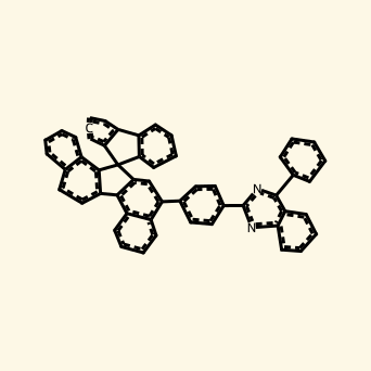 c1ccc(-c2nc(-c3ccc(-c4cc5c(c6ccccc46)-c4ccc6ccccc6c4C54c5ccccc5-c5ccccc54)cc3)nc3ccccc23)cc1